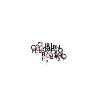 Bc1c(B)c(-c2cccc3c2oc2ccccc23)c(B)c(B)c1C(=O)c1c(B)c(B)c(-c2cccc3c2oc2ccccc23)c(B)c1B